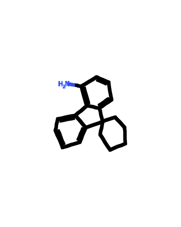 Nc1cccc2c1-c1ccccc1C21CCCCC1